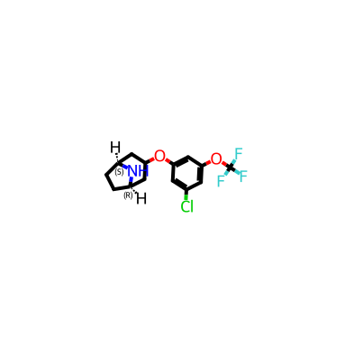 FC(F)(F)Oc1cc(Cl)cc(OC2C[C@H]3CC[C@@H](C2)N3)c1